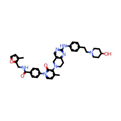 Cc1ccoc1CNC(=O)c1ccc(-n2ccc(C)c(N3CCc4nc(Nc5ccc(CCN6CCC(O)CC6)cc5)ncc4C3)c2=O)cc1